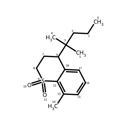 CCCC(C)(C)C1CCS(=O)(=O)c2c(C)cccc21